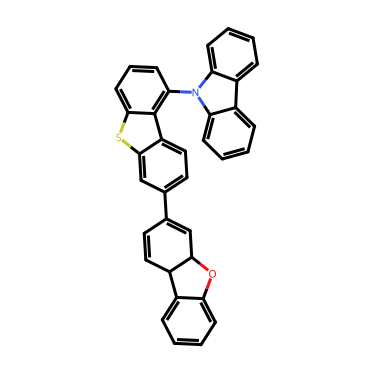 C1=CC2c3ccccc3OC2C=C1c1ccc2c(c1)sc1cccc(-n3c4ccccc4c4ccccc43)c12